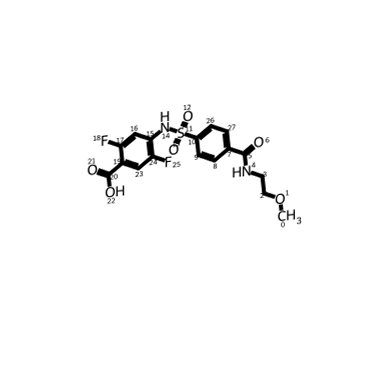 COCCNC(=O)c1ccc(S(=O)(=O)Nc2cc(F)c(C(=O)O)cc2F)cc1